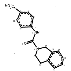 O=C(O)c1ccc(NC(=O)N2CCc3ccccc3C2)cn1